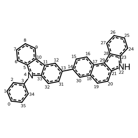 c1ccc(-n2c3ccccc3c3cc(-c4ccc5c(ccc6[nH]c7ccccc7c65)c4)ccc32)cc1